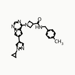 Cc1ccc(CNC(=O)C2CN(c3ncnn4cc(-c5cnn(C6CC6)c5)cc34)C2)cc1